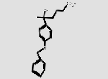 CC(O)(CCCC(=O)O)c1ccc(OCc2ccccc2)cc1